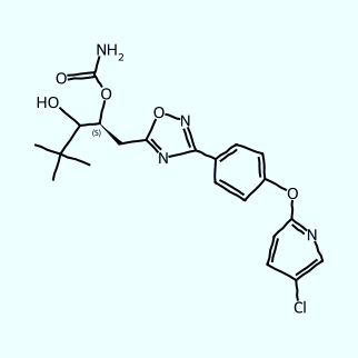 CC(C)(C)C(O)[C@H](Cc1nc(-c2ccc(Oc3ccc(Cl)cn3)cc2)no1)OC(N)=O